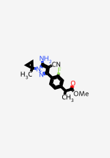 COC(=O)C(C)c1ccc(-c2nn(C3(C)CC3)c(N)c2C#N)c(F)c1